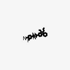 CCCC(CCC)C1(c2ccc(-c3cnc(-c4ccc(C#N)c(F)c4)nc3)cc2)CCCCC1